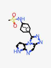 CS(=O)(=O)NC12CCC(c3nnc4cnc5[nH]ccc5n34)(CC1)CC2